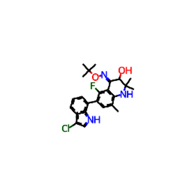 Cc1cc(-c2cccc3c(Cl)c[nH]c23)c(F)c2c1NC(C)(C)C(O)/C2=N/OC(C)(C)C